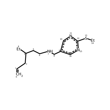 C=CCC(CC)CCNCc1cnc(SCC)nc1